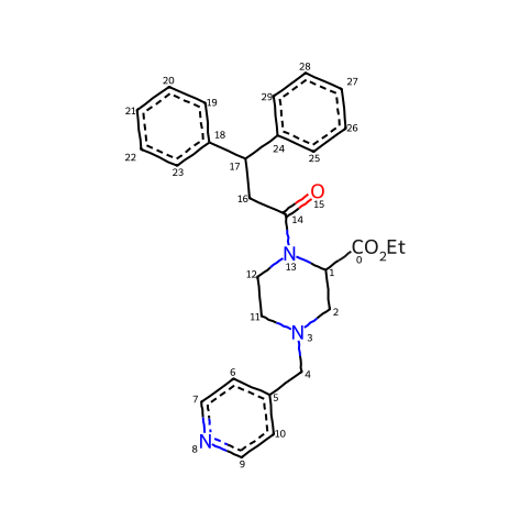 CCOC(=O)C1CN(Cc2ccncc2)CCN1C(=O)CC(c1ccccc1)c1ccccc1